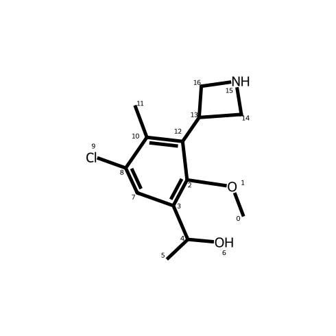 COc1c(C(C)O)cc(Cl)c(C)c1C1CNC1